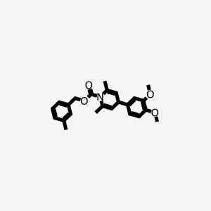 COc1ccc(C2C=C(C)N(C(=O)OCc3cccc(C)c3)C(C)=C2)cc1OC